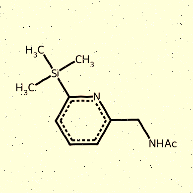 CC(=O)NCc1cccc([Si](C)(C)C)n1